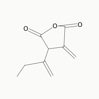 C=C(CC)C1C(=C)C(=O)OC1=O